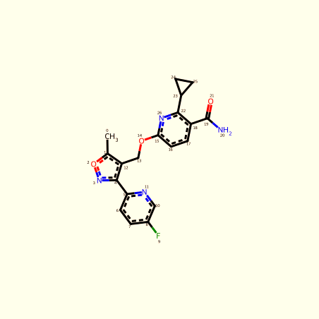 Cc1onc(-c2ccc(F)cn2)c1COc1ccc(C(N)=O)c(C2CC2)n1